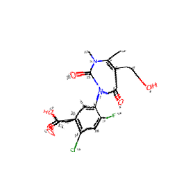 Cc1c(CO)c(=O)n(-c2cc(C(=O)O)c(Cl)cc2F)c(=O)n1C